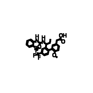 CCC(NC(=O)Nc1ccccc1Br)c1cc(C(F)(F)F)ccc1-c1cc(CC(=O)O)ccc1OC